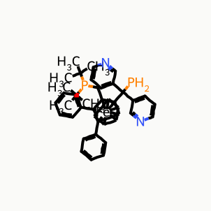 CC(C)(C)P(C[C]12[C]3(c4ccccc4)[C]4(c5ccccc5)[CH]5[C]1(C(P)(c1cccnc1)c1cccnc1)[Fe]54231678[CH]2[CH]1[CH]6[CH]7[CH]28)C(C)(C)C